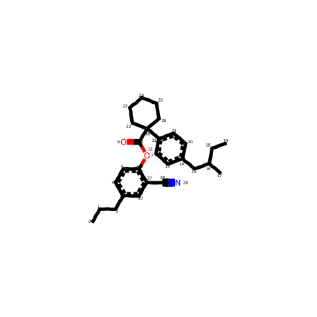 CCCc1ccc(OC(=O)C2(c3ccc(CC(C)CC)cc3)CCCCC2)c(C#N)c1